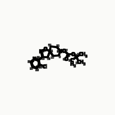 CC(C)(C)OC(=O)ON1CCC2(CC1)CC(c1ncccc1Cl)=NO2